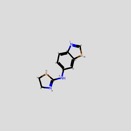 c1nc2ccc(NC3=NCCS3)cc2s1